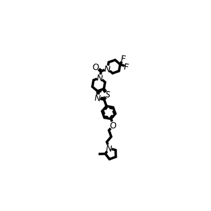 CC1CCCN1CCCOc1ccc(-c2nc3c(s2)CN(C(=O)N2CCC(F)(F)CC2)CC3)cc1